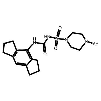 CC(=O)N1CCN(S(=O)(=O)NC(=O)Nc2c3c(cc4c2CCC4)CCC3)CC1